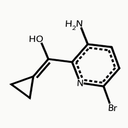 Nc1ccc(Br)nc1C(O)=C1CC1